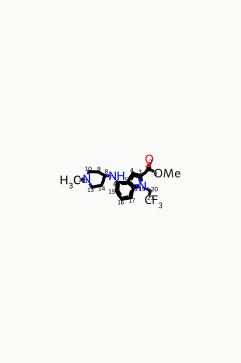 COC(=O)c1cc2c(NC3CCN(C)CC3)cccc2n1CC(F)(F)F